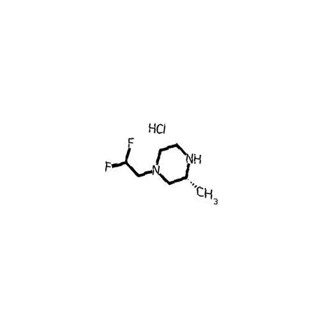 C[C@@H]1CN(CC(F)F)CCN1.Cl